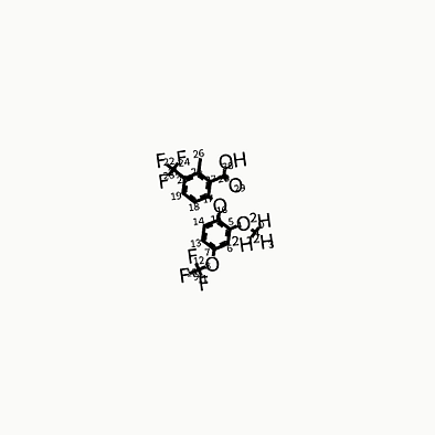 [2H]C([2H])([2H])Oc1cc(OC(F)(F)F)ccc1Oc1ccc(C(F)(F)F)c(C)c1C(=O)O